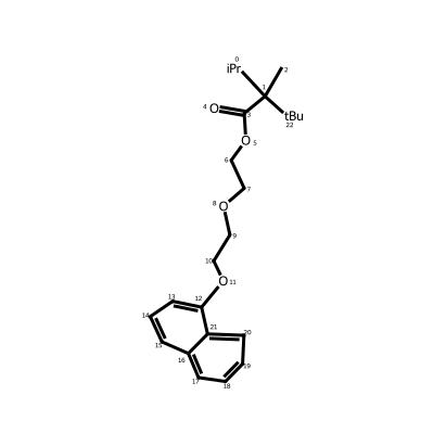 CC(C)C(C)(C(=O)OCCOCCOc1cccc2ccccc12)C(C)(C)C